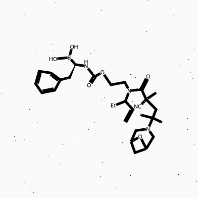 C=CC(CC)N(CCOC(=O)N[C@@H](Cc1ccccc1)B(O)O)C(=O)C(C)(C#N)CC(C)(C)N1CC2CC(C1)O2